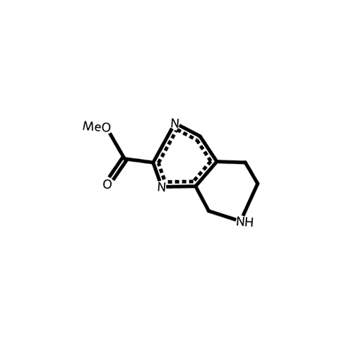 COC(=O)c1ncc2c(n1)CNCC2